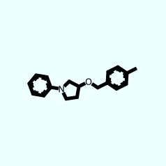 Cc1ccc(COC2CCN(c3ccccc3)C2)cc1